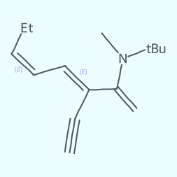 C#C/C(=C\C=C/CC)C(=C)N(C)C(C)(C)C